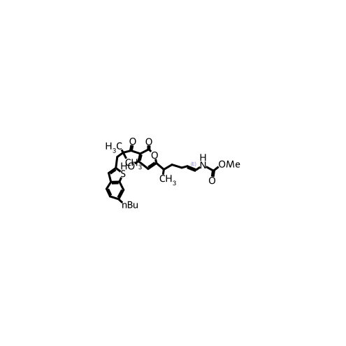 CCCCc1ccc2cc(CC(C)(C)C(=O)c3c(O)cc(C(C)CC/C=C/NC(=O)OC)oc3=O)sc2c1